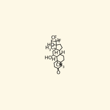 C[C@]12CCC(=O)C=C1CC[C@@H]1[C@@H]2[C@@H](O)C[C@@]2(C)[C@H]1CC[C@@]2(O)C(F)(F)C(F)(F)F